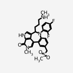 CNCCCC1c2c[nH]c3c(=O)n(C)cc(c23)-c2cc(CS(C)(=O)=O)ccc2N1c1ccc(F)cc1F